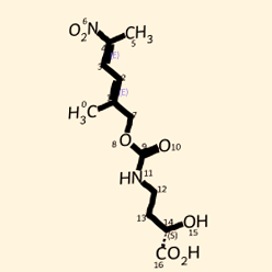 C/C(=C\C=C(/C)[N+](=O)[O-])COC(=O)NCC[C@H](O)C(=O)O